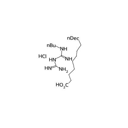 CCCCCCCCCCCCCCCCCC(=O)O.CCCCNC(=N)NC(=N)N.Cl